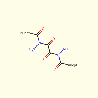 CCCCCCCC(=O)N(N)C(=O)C(=O)N(N)C(=O)CCCCCCC